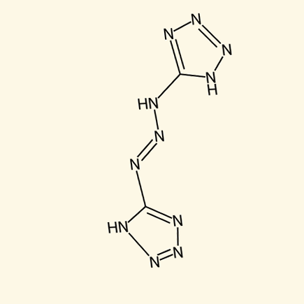 N(=Nc1nnn[nH]1)Nc1nnn[nH]1